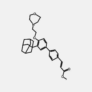 COC(=O)C=Cc1ccc(-c2ccc(OCCN3CCOCC3)c(C34CC5CC(CC(C5)C3)C4)c2)cc1